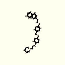 C1=CCN(CCOc2ccc(/N=N/c3ccc(OCCc4ccc5ccccc5c4)cc3)cc2)C=C1